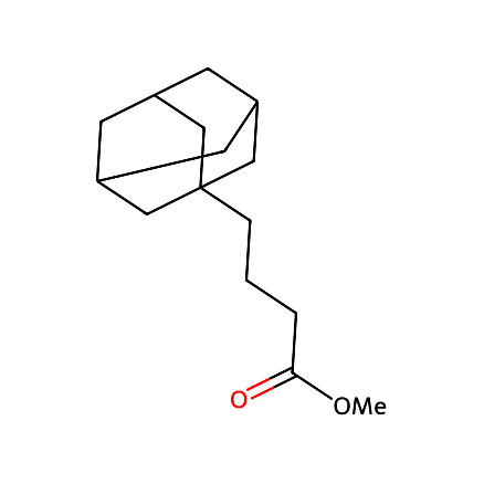 COC(=O)CCCC12CC3CC(CC(C3)C1)C2